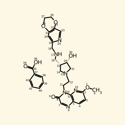 COc1ccc2ncc(=O)n(CCN3C[C@H](CNCc4cc5c(cn4)OCCO5)[C@H](O)C3)c2n1.O=C(O)c1ccccc1